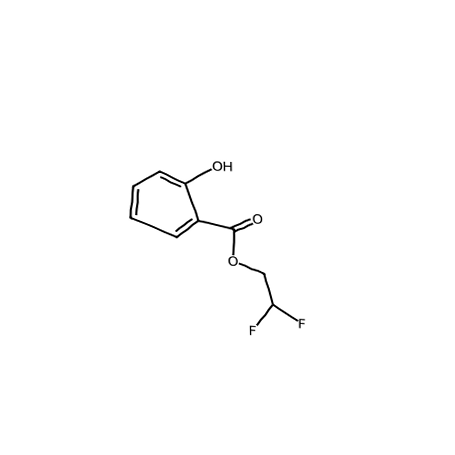 O=C(OCC(F)F)c1ccccc1O